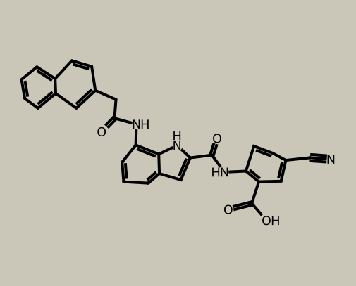 N#Cc1ccc(NC(=O)c2cc3cccc(NC(=O)Cc4ccc5ccccc5c4)c3[nH]2)c(C(=O)O)c1